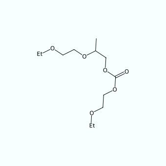 CCOCCOC(=O)OCC(C)OCCOCC